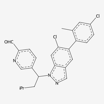 Cc1cc(Cl)ccc1-c1cc2cnn(C(CC(C)C)c3ccc(C=O)nc3)c2cc1Cl